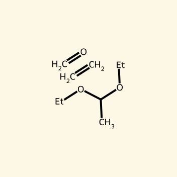 C=C.C=O.CCOC(C)OCC